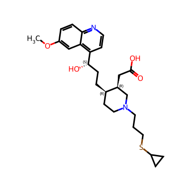 COc1ccc2nccc([C@@H](O)CC[C@@H]3CCN(CCCSC4CC4)C[C@@H]3CC(=O)O)c2c1